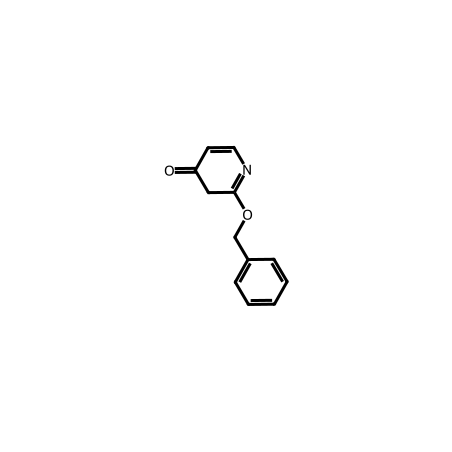 O=C1C=CN=C(OCc2ccccc2)C1